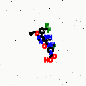 Cc1[nH]c2c(-c3cc(C(F)F)ccc3OCC3CC3)ncnc2c1C(=O)N[C@@H]1CCN(C(=O)CO)C[C@H]1F